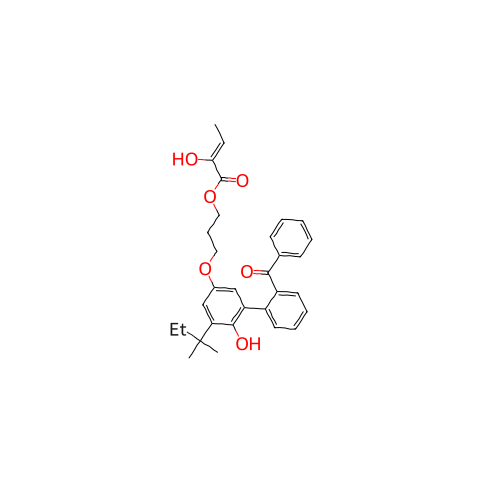 CC=C(O)C(=O)OCCCOc1cc(-c2ccccc2C(=O)c2ccccc2)c(O)c(C(C)(C)CC)c1